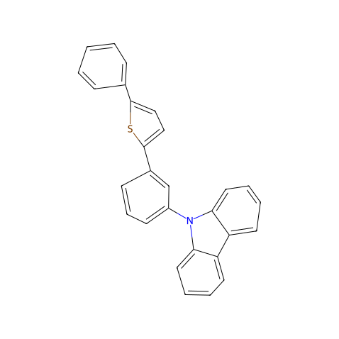 c1ccc(-c2ccc(-c3cccc(-n4c5ccccc5c5ccccc54)c3)s2)cc1